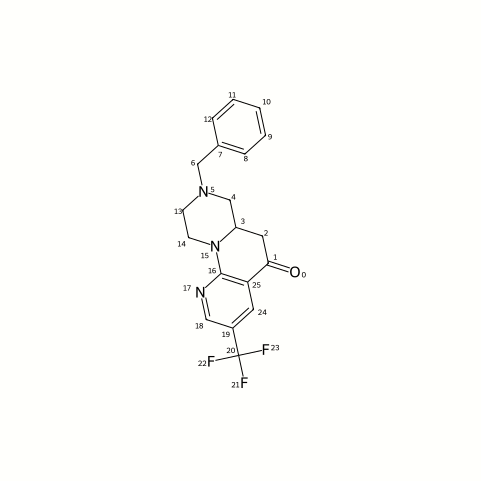 O=C1CC2CN(Cc3ccccc3)CCN2c2ncc(C(F)(F)F)cc21